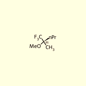 CCC[C@@](C)(OC)C(F)(F)F